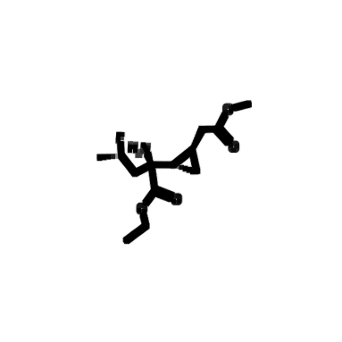 CCOC(=O)[C@](N)(C[C@H](C)F)[C@H]1C[C@@H]1CC(=O)OC